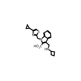 O=C(O)c1c(CNC2CCC2)c2ccccc2n1Cc1nc(C2CC2)cs1